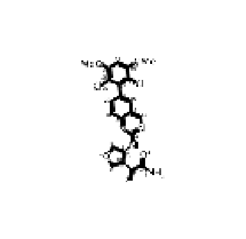 C=C(C(N)=O)[C@H]1COC[C@H]1Nc1ncc2cc(-c3c(Cl)c(OC)cc(OC)c3Cl)ccc2n1